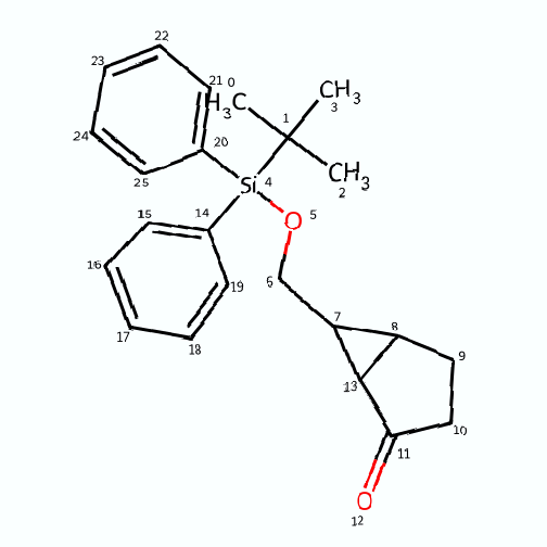 CC(C)(C)[Si](OCC1C2CCC(=O)C21)(c1ccccc1)c1ccccc1